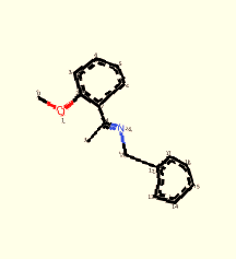 COc1ccccc1C(C)=NCc1ccccc1